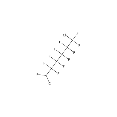 FC(Cl)C(F)(F)C(F)(F)C(F)(F)C(F)(F)C(F)(F)Cl